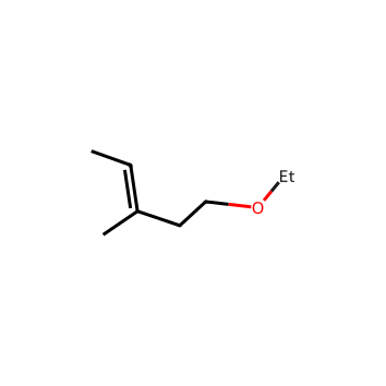 [CH2]COCCC(C)=CC